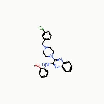 COc1ccccc1Nc1nc2ccccc2nc1N1CCN(Cc2cccc(Cl)c2)CC1